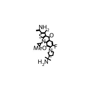 C=C(N)c1sc2c(c1C)c(=O)c1cc(F)c(N3CC[C@@H](C(C)(C)N)C3)c(OC)c1n2C1CC1